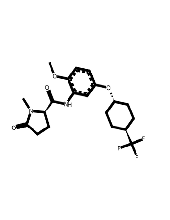 COc1ccc(O[C@H]2CC[C@H](C(F)(F)F)CC2)cc1NC(=O)[C@H]1CCC(=O)N1C